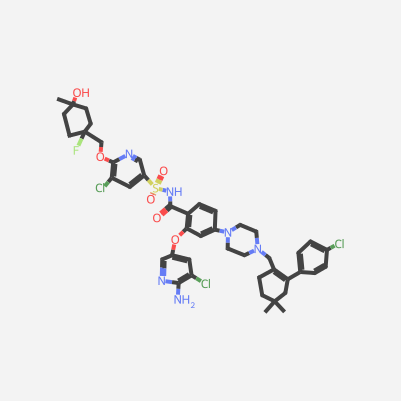 CC1(C)CCC(CN2CCN(c3ccc(C(=O)NS(=O)(=O)c4cnc(OCC5(F)CCC(C)(O)CC5)c(Cl)c4)c(Oc4cnc(N)c(Cl)c4)c3)CC2)=C(c2ccc(Cl)cc2)C1